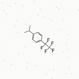 CC(C)c1ccc(C(F)(F)C(F)(F)F)cc1